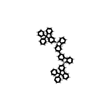 c1ccc(C2(c3ccccc3)c3ccccc3-c3cc(-n4c5ccccc5c5cc(-c6ccc7c(c6)c6ccccc6n7-c6ccc7c(c6)-c6ccccc6C7(c6ccccc6)c6ccccc6)ccc54)ccc32)cc1